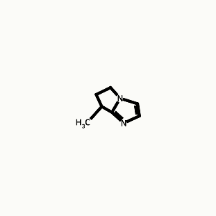 CC1CCn2ccnc21